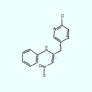 O=[N+]([O-])/C=C(/Cc1ccc(Cl)nc1)Nc1ccccc1